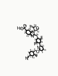 N#Cc1ccc(COc2cccc(-c3cc(F)c(Cc4nc5ccc(C(=O)O)cc5n4[C@@H]4COC[C@H]4F)cc3F)n2)c(F)c1